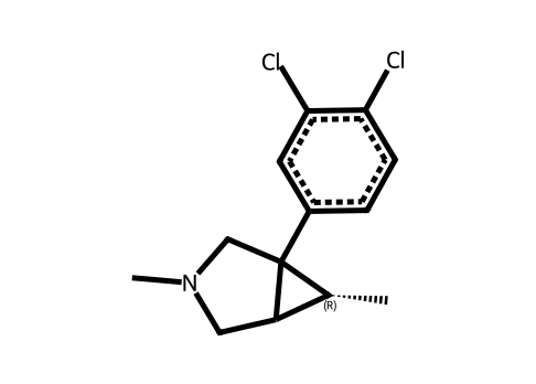 C[C@@H]1C2CN(C)CC21c1ccc(Cl)c(Cl)c1